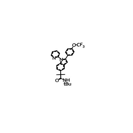 CC(C)(C)NC(=O)C(C)(C)c1ccc2c(c1)cc(-c1ccc(OC(F)(F)F)cc1)n2-c1ccccn1